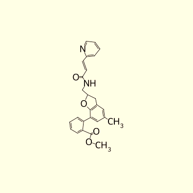 COC(=O)c1ccccc1-c1cc(C)cc2c1OC(CNC(=O)/C=C/c1ccccn1)C2